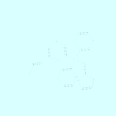 C1=CCC(N=P(c2ccccc2)(c2ccccc2)c2ccccc2)=C1.C=CC(=C)C.[Ti]